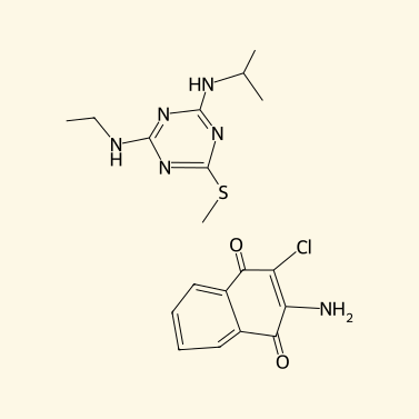 CCNc1nc(NC(C)C)nc(SC)n1.NC1=C(Cl)C(=O)c2ccccc2C1=O